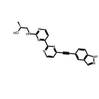 C[C@H](O)CNc1nccc(-c2nccc(C#Cc3ccc4[nH]ncc4c3)n2)n1